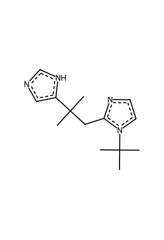 CC(C)(Cc1nccn1C(C)(C)C)c1cnc[nH]1